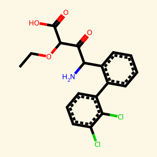 CCOC(C(=O)O)C(=O)C(N)c1ccccc1-c1cccc(Cl)c1Cl